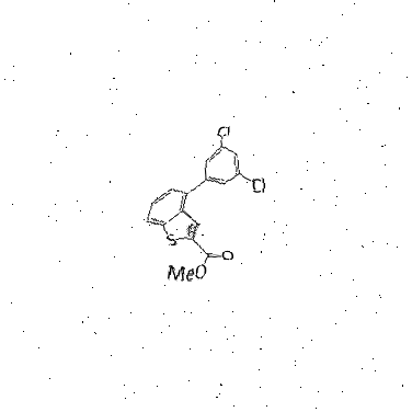 COC(=O)c1cc2c(-c3cc(Cl)cc(Cl)c3)cccc2s1